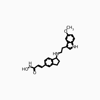 COc1ccc2[nH]cc(CCNC3CCc4cc(C=CC(=O)NO)ccc43)c2c1